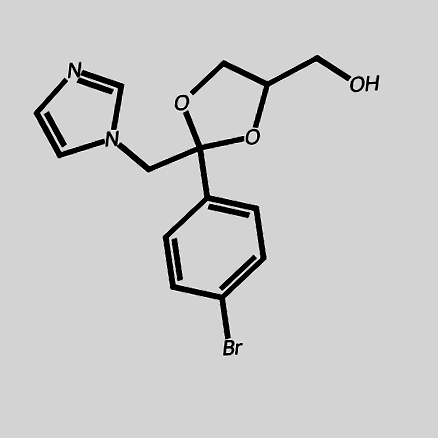 OCC1COC(Cn2ccnc2)(c2ccc(Br)cc2)O1